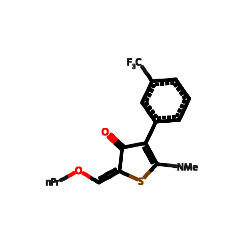 CCCOC=C1SC(NC)=C(c2cccc(C(F)(F)F)c2)C1=O